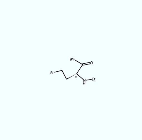 CCN[C@H](CCC(C)C)C(=O)C(C)C